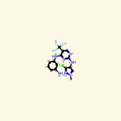 Cn1cc(Nc2ncc(C(F)(F)F)c(Nc3cccc(N)c3)n2)c(Cl)n1